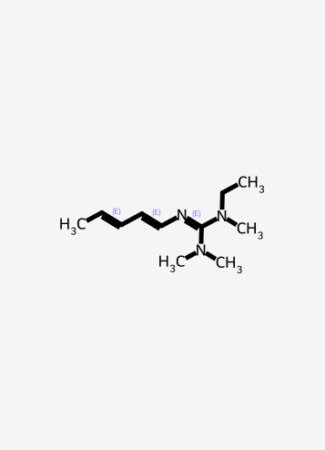 C/C=C/C=C/N=C(\N(C)C)N(C)CC